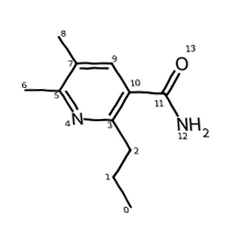 CCCc1nc(C)c(C)cc1C(N)=O